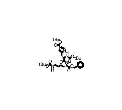 CC(C)(C)OC(=O)NCCCC[C@H](NC(=O)[C@H](Cc1cn(C(=O)OC(C)(C)C)cn1)NC(=O)OC(C)(C)C)C(=O)OCc1ccccc1